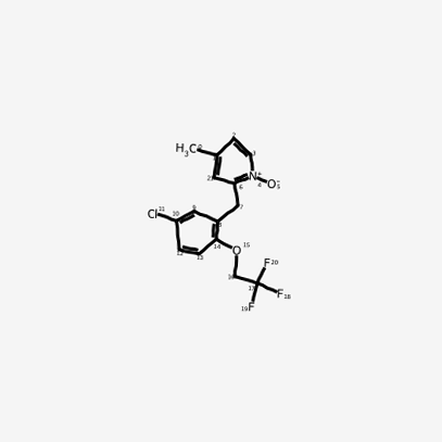 Cc1cc[n+]([O-])c(Cc2cc(Cl)ccc2OCC(F)(F)F)c1